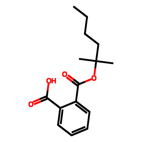 CCCCC(C)(C)OC(=O)c1ccccc1C(=O)O